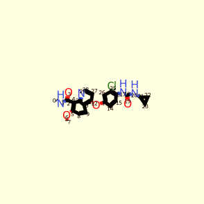 CNC(=O)c1c(OC)ccc2c(Oc3ccc(NC(=O)NC4CC4)c(Cl)c3)ccnc12